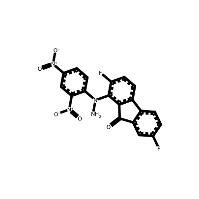 NN(c1ccc([N+](=O)[O-])cc1[N+](=O)[O-])c1c(F)ccc2c1C(=O)c1cc(F)ccc1-2